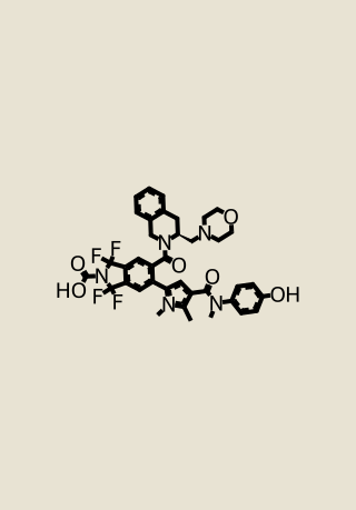 Cc1c(C(=O)N(C)c2ccc(O)cc2)cc(-c2cc3c(cc2C(=O)N2Cc4ccccc4C[C@H]2CN2CCOCC2)C(F)(F)N(C(=O)O)C3(F)F)n1C